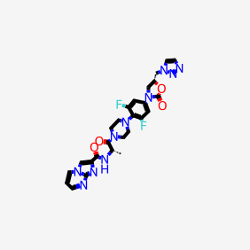 C[C@H](NC(=O)c1cn2cccnc2n1)C(=O)N1CCN(c2c(F)cc(N3C[C@H](Cn4ccnn4)OC3=O)cc2F)CC1